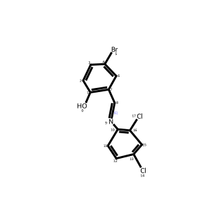 Oc1ccc(Br)cc1/C=N/c1ccc(Cl)cc1Cl